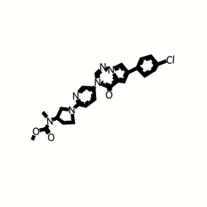 COC(=O)N(C)C1CCN(c2ccc(-n3cnn4cc(-c5ccc(Cl)cc5)cc4c3=O)cn2)C1